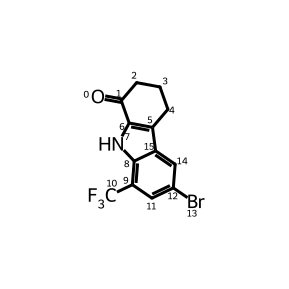 O=C1CCCc2c1[nH]c1c(C(F)(F)F)cc(Br)cc21